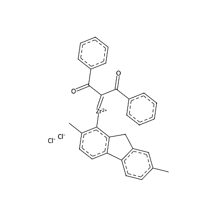 Cc1ccc2c(c1)Cc1c-2ccc(C)[c]1[Zr+2]=[C](C(=O)c1ccccc1)C(=O)c1ccccc1.[Cl-].[Cl-]